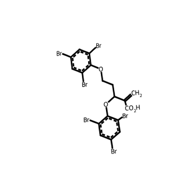 C=C(C(=O)O)C(CCOc1c(Br)cc(Br)cc1Br)Oc1c(Br)cc(Br)cc1Br